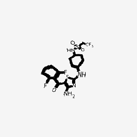 Nc1nc(NC2CCC(NS(=O)(=O)CC(F)(F)F)CC2)sc1C(=O)c1c(F)cccc1F